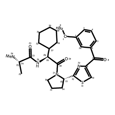 CCCCOc1cccc(C(=O)c2csc([C@@H]3CCCN3C(=O)[C@@H](NC(=O)[C@H](C)NC)C3CCCCC3)n2)c1